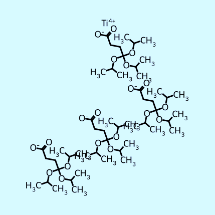 CC(C)OC(CCC(=O)[O-])(OC(C)C)OC(C)C.CC(C)OC(CCC(=O)[O-])(OC(C)C)OC(C)C.CC(C)OC(CCC(=O)[O-])(OC(C)C)OC(C)C.CC(C)OC(CCC(=O)[O-])(OC(C)C)OC(C)C.[Ti+4]